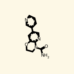 NC(=O)N1CCOc2cc(-c3cccnc3)cnc21